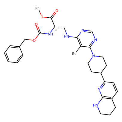 CCc1c(NC[C@H](NC(=O)OCc2ccccc2)C(=O)OC(C)C)ncnc1N1CCC(c2ccc3c(n2)NCCC3)CC1